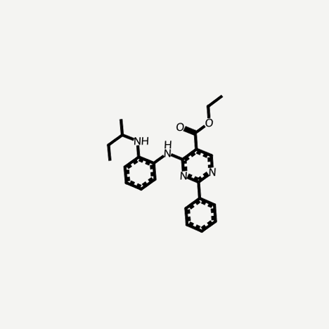 CCOC(=O)c1cnc(-c2ccccc2)nc1Nc1ccccc1NC(C)CC